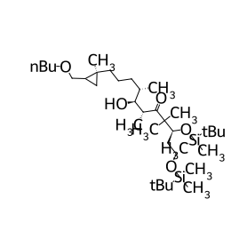 CCCCOCC1C[C@]1(C)CCC[C@H](C)[C@H](O)[C@@H](C)C(=O)C(C)(C)[C@H](CCO[Si](C)(C)C(C)(C)C)O[Si](C)(C)C(C)(C)C